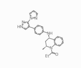 CCC(=O)N1c2ccccc2[C@H](Nc2ccc(-c3c[nH]nc3-n3cccn3)cc2)C[C@@H]1C